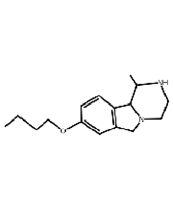 CCCCOc1ccc2c(c1)CN1CCNC(C)C21